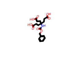 O=C(O)CCC(CCC(=O)O)(CCC(=O)O)NC(=O)OCc1ccccc1